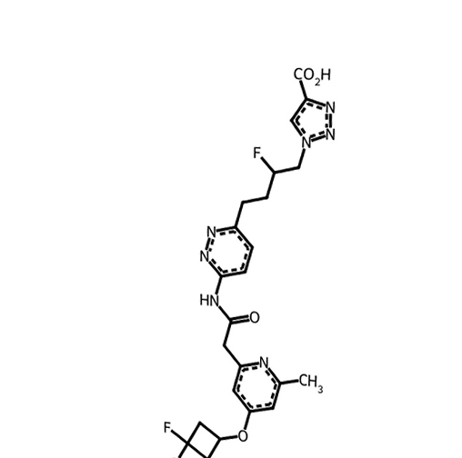 Cc1cc(OC2CC(F)(F)C2)cc(CC(=O)Nc2ccc(CCC(F)Cn3cc(C(=O)O)nn3)nn2)n1